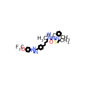 Cc1cccc(C)c1-n1c(C)cs/c1=N\C(=O)NC(C)CCCc1ccc(-c2ncn(-c3ccc(OC(F)(F)F)cc3)n2)cc1